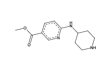 COC(=O)c1ccc(NC2CCNCC2)nc1